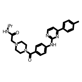 Cc1ccc(-c2ccnc(Nc3ccc(C(=O)N4CCN(CC(=O)NC(C)C)CC4)cc3)n2)cc1